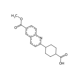 COC(=O)c1ccc2nc(C3CCC(C(=O)O)CC3)ccc2c1